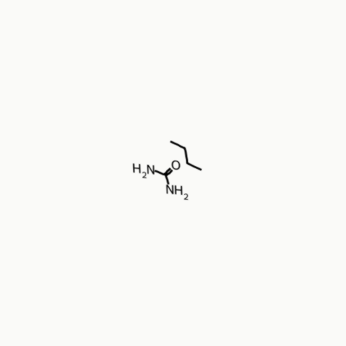 CCCC.NC(N)=O